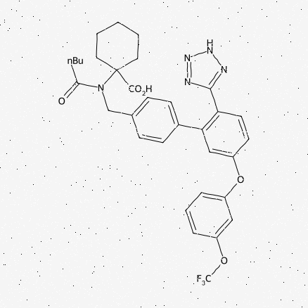 CCCCC(=O)N(Cc1ccc(-c2cc(Oc3cccc(OC(F)(F)F)c3)ccc2-c2nn[nH]n2)cc1)C1(C(=O)O)CCCCC1